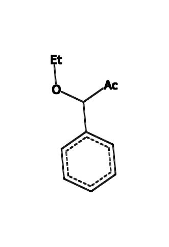 CCOC(C(C)=O)c1ccccc1